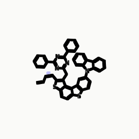 C=C/C=C\c1sc2ccc3sc4ccc(-n5c6ccccc6c6ccccc65)cc4c3c2c1Cc1nc(-c2ccccc2)nc(-c2ccccc2)n1